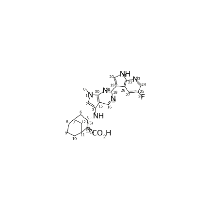 Cn1cc(N[C@H]2CC3CCCC(C3)[C@@H]2C(=O)O)c2cnc(-c3c[nH]c4ncc(F)cc34)nc21